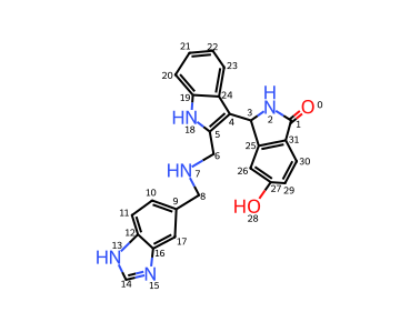 O=C1NC(c2c(CNCc3ccc4[nH]cnc4c3)[nH]c3ccccc23)c2cc(O)ccc21